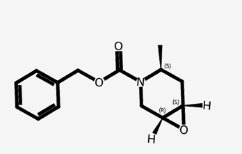 C[C@H]1C[C@@H]2O[C@@H]2CN1C(=O)OCc1ccccc1